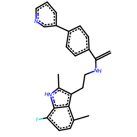 C=C(NCCc1c(C)[nH]c2c(F)ccc(C)c12)c1ccc(-c2cccnc2)cc1